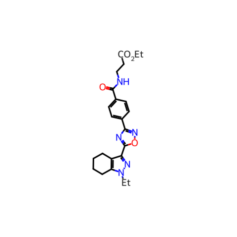 CCOC(=O)CCNC(=O)c1ccc(-c2noc(-c3nn(CC)c4c3CCCC4)n2)cc1